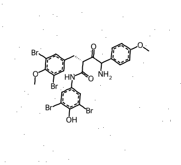 COc1ccc(C(N)C(=O)[C@@H](Cc2cc(Br)c(OC)c(Br)c2)C(=O)Nc2cc(Br)c(O)c(Br)c2)cc1